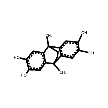 CC12CCC(C)(c3cc(O)c(O)cc31)c1cc(O)c(O)cc12